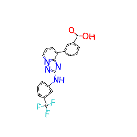 O=C(O)c1cccc(-c2cccn3nc(Nc4cccc(C(F)(F)F)c4)nc23)c1